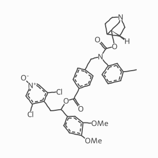 COc1ccc(C(Cc2c(Cl)c[n+]([O-])cc2Cl)OC(=O)c2ccc(CN(C(=O)O[C@H]3CN4CCC3CC4)c3cccc(C)c3)cc2)cc1OC